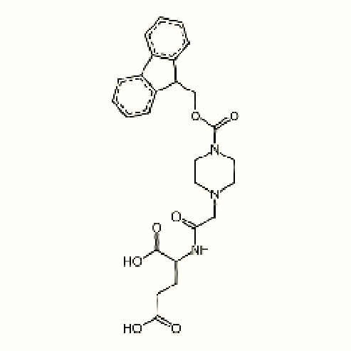 O=C(O)CCC(NC(=O)CN1CCN(C(=O)OCC2c3ccccc3-c3ccccc32)CC1)C(=O)O